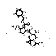 CC[C@@H]1CN(C(=O)C(F)(F)F)C2(CC2)CN1C(=O)C1CC[C@@H](C)N1C(=O)OCc1ccccc1